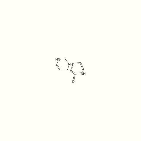 C1=CNCNC1.O=c1cccc[nH]1